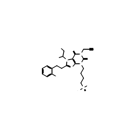 C#CCn1c(=O)c2c(nc(CCc3ccccc3Br)n2C(C)CC)n(CCCCP(=O)(O)O)c1=O